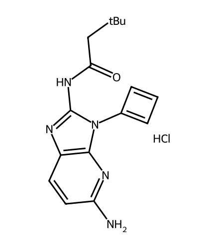 CC(C)(C)CC(=O)Nc1nc2ccc(N)nc2n1C1=CC=C1.Cl